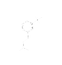 CN(C)CCc1c[c]cc(C(F)(F)F)c1